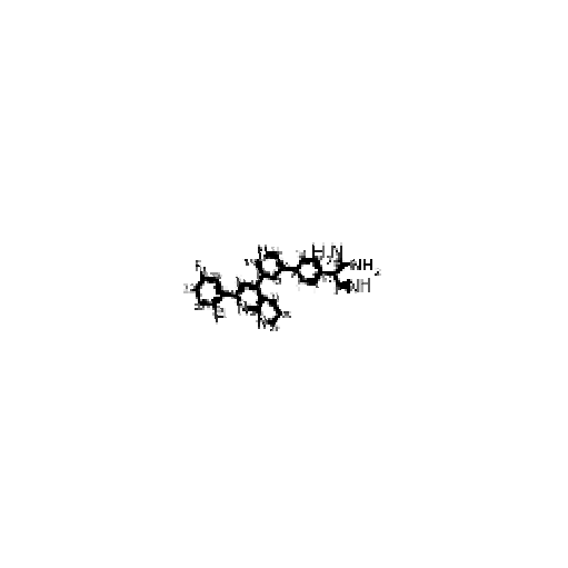 N=CC(=C(N)N)c1ccc(-c2cncc(-c3cc(-c4cc(F)ccc4F)nc4ncccc34)c2)cc1